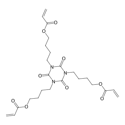 C=CC(=O)OCCCCn1c(=O)n(CCCCOC(=O)C=C)c(=O)n(CCCCOC(=O)C=C)c1=O